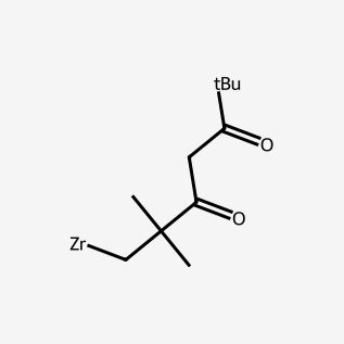 CC(C)(C)C(=O)CC(=O)C(C)(C)[CH2][Zr]